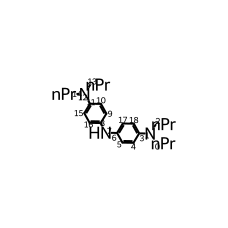 CCCN(CCC)c1ccc(Nc2ccc(N(CCC)CCC)cc2)cc1